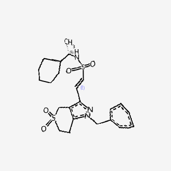 C[C@H](NS(=O)(=O)/C=C/c1nn(Cc2ccccc2)c2c1CS(=O)(=O)CC2)C1CCCCC1